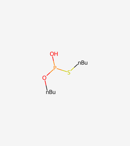 CCCCOP(O)SCCCC